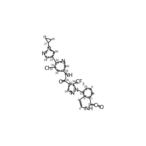 O=C=C1NC=Cc2c1cccc2-n1ncc(C(=O)Nc2cnc(-c3cnn(C4CC4)c3)c(Cl)c2)c1C(F)(F)F